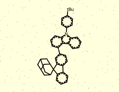 CC(C)(C)c1ccc(-n2c3ccccc3c3c(-c4ccc5c(c4)C4(c6ccccc6-5)C5CC6CC(C5)CC4C6)cccc32)cc1